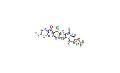 CCC1CCN(C(=O)c2ccc(Cl)c(Cc3cc4c(C)cc(OC(F)(F)F)cc4n3C)c2Cl)CC1